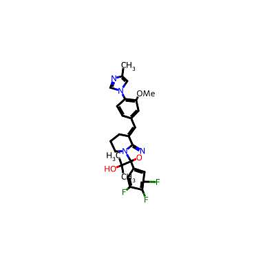 COc1cc(/C=C2\CCCN3C2=NOC3(c2cc(F)c(F)c(F)c2)C(C)(C)O)ccc1-n1cnc(C)c1